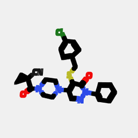 N#CC1(C(=O)N2CCN(c3cnn(-c4ccccc4)c(=O)c3SCc3ccc(Cl)cc3)CC2)CC1